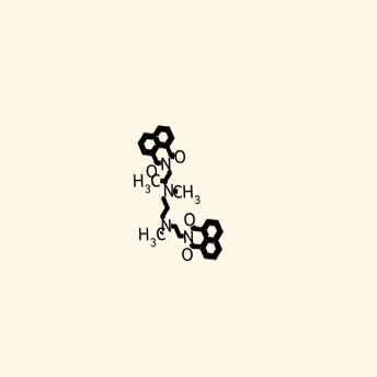 CC(CN1C(=O)c2cccc3cccc(c23)C1=O)N(C)CCCN(C)CCN1C(=O)c2cccc3cccc(c23)C1=O